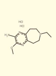 CCN1CCc2nc(N)c(OC)nc2CC1.Cl.Cl